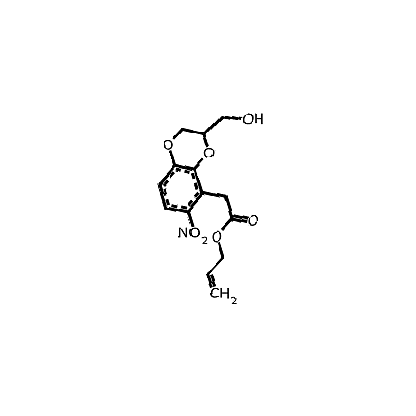 C=CCOC(=O)Cc1c([N+](=O)[O-])ccc2c1OC(CO)CO2